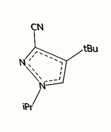 CC(C)n1cc(C(C)(C)C)c(C#N)n1